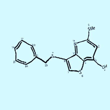 CSc1cc(O)c2scc(SCc3ccccc3)c2n1